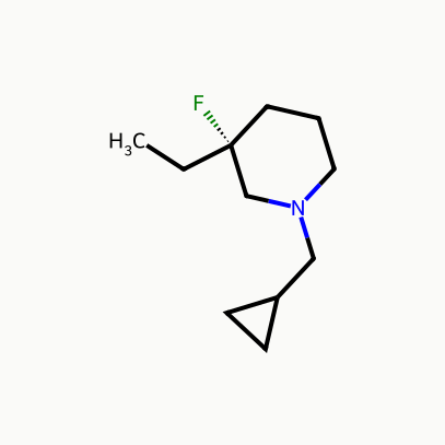 CC[C@@]1(F)CCCN(CC2CC2)C1